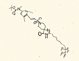 Cc1cc(N(C)C(=O)OC(C)(C)C)cc(C)c1/C=C/S(=O)(=O)N1CCC2(CC1)N=C(CCCCCCCC(F)(F)C(F)(F)F)NC2=O